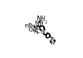 CCCCNc1nc(N)nc2c1C(C=O)N(Cc1ccc(CN3CCN(C)CC3)cc1)C=C2